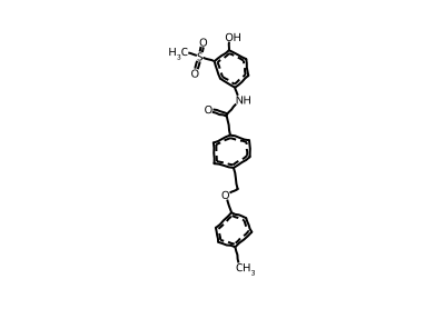 Cc1ccc(OCc2ccc(C(=O)Nc3ccc(O)c(S(C)(=O)=O)c3)cc2)cc1